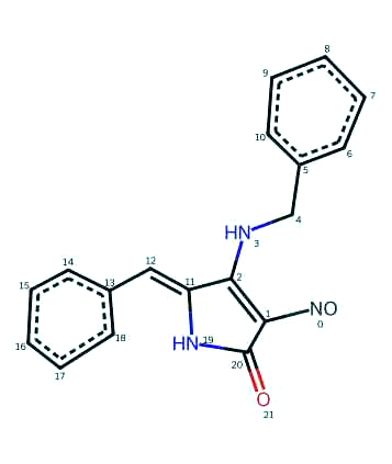 O=NC1=C(NCc2ccccc2)/C(=C/c2ccccc2)NC1=O